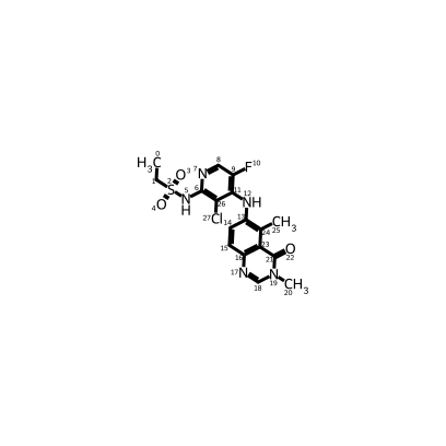 CCS(=O)(=O)Nc1ncc(F)c(Nc2ccc3ncn(C)c(=O)c3c2C)c1Cl